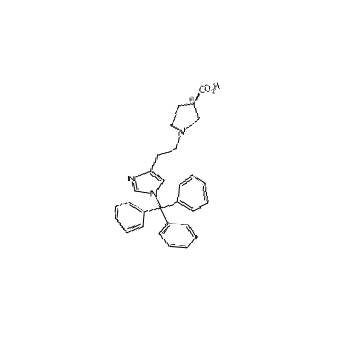 O=C(O)[C@@H]1CCN(CCc2cn(C(c3ccccc3)(c3ccccc3)c3ccccc3)cn2)C1